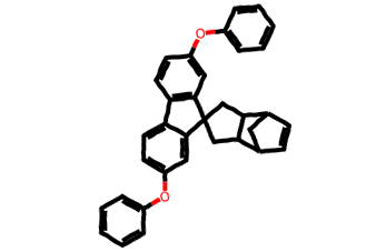 C1=CC2CC1C1CC3(CC21)c1cc(Oc2ccccc2)ccc1-c1ccc(Oc2ccccc2)cc13